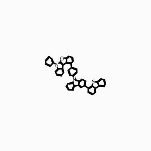 c1ccc(-n2c3ccccc3c3c4c(-c5ccc(-n6c7ccccc7c7cc(-c8cccc9c8sc8ccccc89)ccc76)cc5)cccc4oc32)cc1